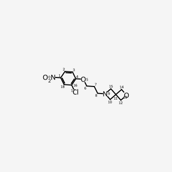 O=[N+]([O-])c1ccc(OCCCN2CC3(COC3)C2)c(Cl)c1